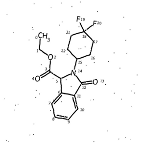 CCOC(=O)C1c2ccccc2C(=O)N1C1CCC(F)(F)CC1